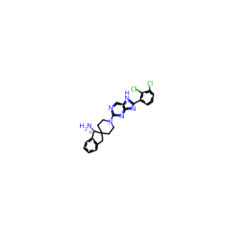 N[C@@H]1c2ccccc2CC12CCN(c1ncc3[nH]c(-c4cccc(Cl)c4Cl)nc3n1)CC2